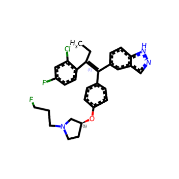 CC/C(=C(/c1ccc(O[C@H]2CCN(CCCF)C2)cc1)c1ccc2[nH]ncc2c1)c1ccc(F)cc1Cl